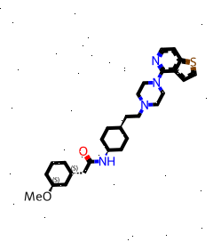 CO[C@H]1CCC[C@H](CC(=O)N[C@H]2CC[C@H](CCN3CCN(c4nccc5sccc45)CC3)CC2)C1